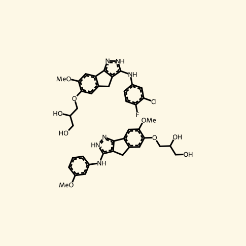 COc1cc2c(cc1OCC(O)CO)Cc1c-2n[nH]c1Nc1ccc(F)c(Cl)c1.COc1cccc(Nc2[nH]nc3c2Cc2cc(OCC(O)CO)c(OC)cc2-3)c1